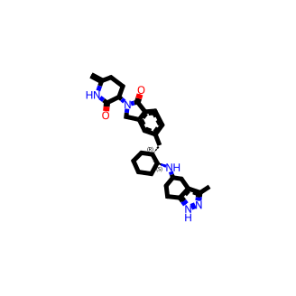 C=C1CCC(N2Cc3cc(C[C@H]4CCCC[C@@H]4NC4CCc5[nH]nc(C)c5C4)ccc3C2=O)C(=O)N1